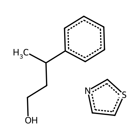 CC(CCO)c1ccccc1.c1cscn1